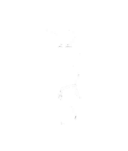 Cc1cc(COCc2cc(C(=O)O)no2)cs1